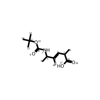 CC(C=C(F)C(C)NC(=O)OC(C)(C)C)C(=O)O